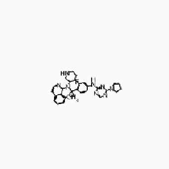 Cc1cccc2ccnc(N(C(=O)c3ccc(Nc4ncnc(N5CCCC5)n4)cc3F)[C@@H]3CCCNC3)c12